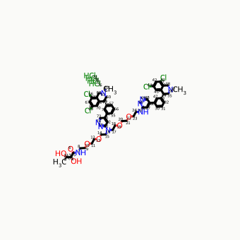 C[C@@H](O)[C@@H](O)C(=O)NCCOCCOCCN(CCOCCOCCNc1cc(-c2cccc([C@@H]3CN(C)Cc4c(Cl)cc(Cl)cc43)c2)cnn1)c1cc(-c2cccc([C@H]3CN(C)Cc4c(Cl)cc(Cl)cc43)c2)cnn1.Cl.Cl.Cl.Cl